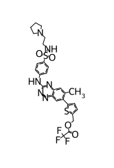 Cc1cc2nc(Nc3ccc(S(=O)(=O)NCCN4CCCC4)cc3)nnc2cc1-c1ccc(COC(=O)C(F)(F)F)s1